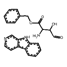 NC(C(=O)OCc1ccccc1)C(O)C=O.c1ccc2c(c1)[nH]c1cnccc12